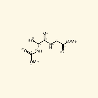 COC(=O)CNC(=O)[C@@H](NC(=O)OC)C(C)C